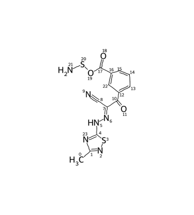 Cc1nsc(N/N=C(\C#N)C(=O)c2cccc(C(=O)OSN)c2)n1